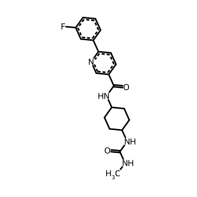 CNC(=O)NC1CCC(NC(=O)c2ccc(-c3cccc(F)c3)nc2)CC1